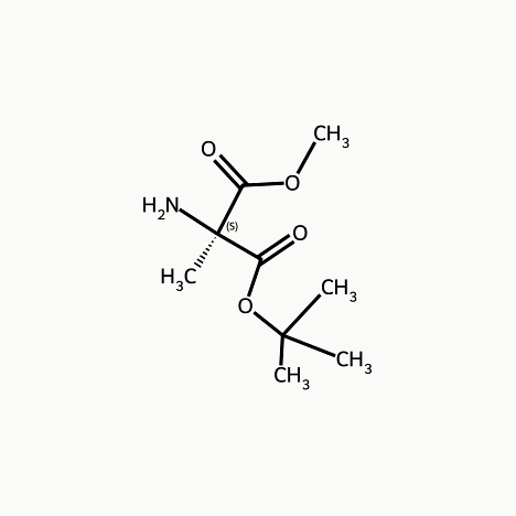 COC(=O)[C@](C)(N)C(=O)OC(C)(C)C